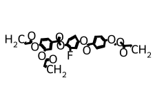 C=CC(=O)OCOc1ccc(C(=O)Oc2ccc(OC(=O)c3ccc(OC(=O)C=C)c(OC(=O)C=C)c3)c(F)c2)cc1